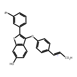 CC(C)c1cccc(-c2sc3cc(O)ccc3c2Oc2ccc(/C=C/C(=O)O)cc2)c1